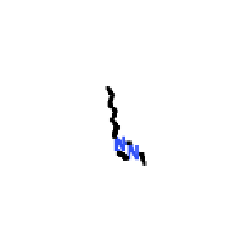 CCCCCC=CN1C=CN(CC)C1